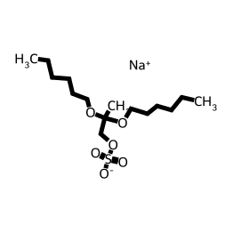 CCCCCCOC(C)(COS(=O)(=O)[O-])OCCCCCC.[Na+]